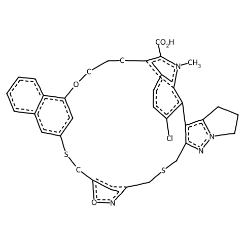 Cn1c(C(=O)O)c2c3ccc(Cl)c(c31)-c1c(nn3c1CCC3)CSCc1cc(on1)CSc1cc(c3ccccc3c1)OCCC2